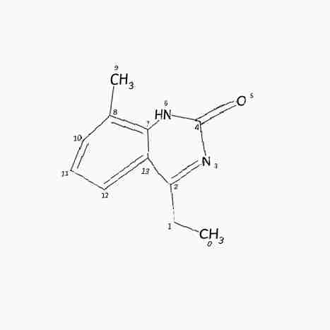 CCc1nc(=O)[nH]c2c(C)cccc12